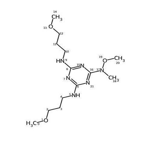 COCCCNc1nc(NCCCOC)nc(N(C)OC)n1